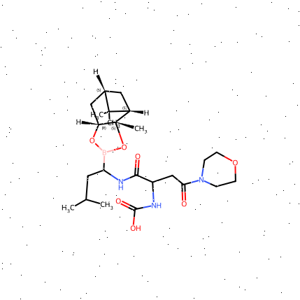 CC(C)CC(NC(=O)C(CC(=O)N1CCOCC1)NC(=O)O)B1O[C@@H]2C[C@@H]3C[C@@H](C3(C)C)[C@]2(C)O1